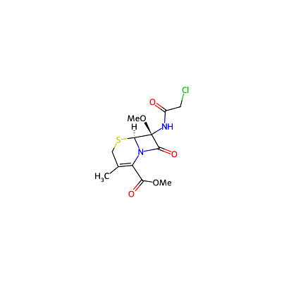 COC(=O)C1=C(C)CS[C@@H]2N1C(=O)[C@]2(NC(=O)CCl)OC